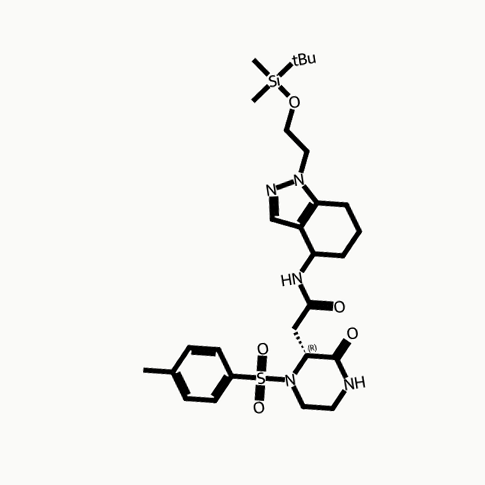 Cc1ccc(S(=O)(=O)N2CCNC(=O)[C@H]2CC(=O)NC2CCCc3c2cnn3CCO[Si](C)(C)C(C)(C)C)cc1